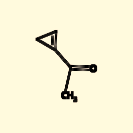 CC(=O)C1=CC1